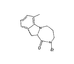 CCN1CCCN2c3c(C)cccc3CC2C1=O